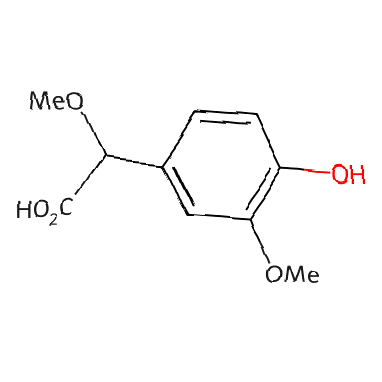 COc1cc(C(OC)C(=O)O)ccc1O